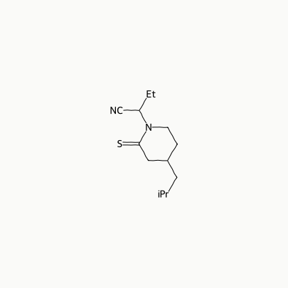 CCC(C#N)N1CCC(CC(C)C)CC1=S